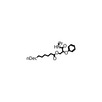 CCCCCCCCCCCCCCCC(=O)OCC(Oc1ccccc1)C(=O)NC(C)C